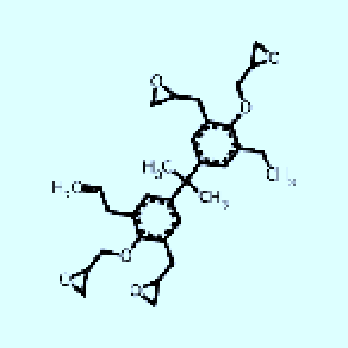 C=CCc1cc(C(C)(C)c2cc(CC)c(OCC3CO3)c(CC3CO3)c2)cc(CC2CO2)c1OCC1CO1